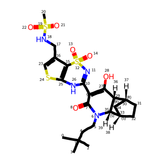 CC(C)(C)CCN1C(=O)C(C2=NS(=O)(=O)c3c(CNS(C)(=O)=O)csc3N2)=C(O)[C@@H]2[C@@H]3CC[C@@H](C3)[C@@H]21